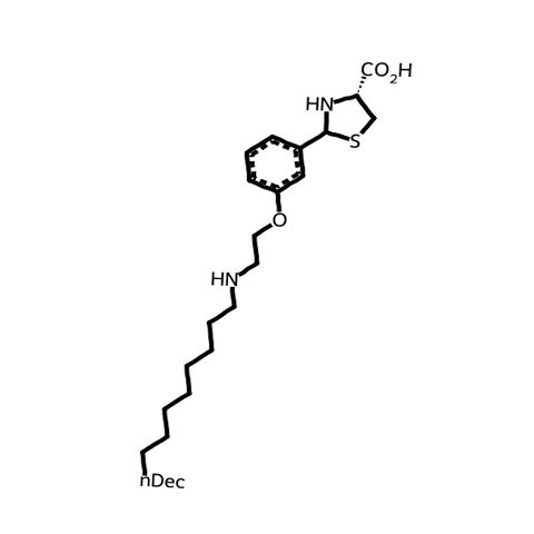 CCCCCCCCCCCCCCCCCCNCCOc1cccc(C2N[C@H](C(=O)O)CS2)c1